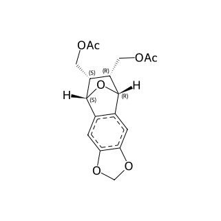 CC(=O)OC[C@@H]1[C@H](COC(C)=O)[C@H]2O[C@@H]1c1cc3c(cc12)OCO3